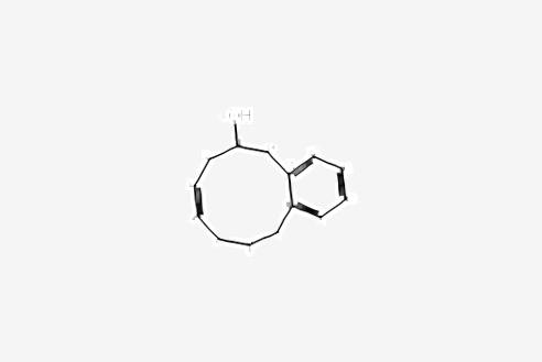 OC1C/C=C\C[C]Cc2ccccc2C1